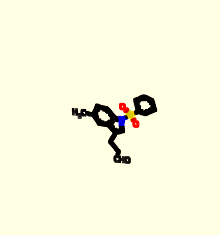 Cc1ccc2c(c1)c(CCC=O)cn2S(=O)(=O)c1ccccc1